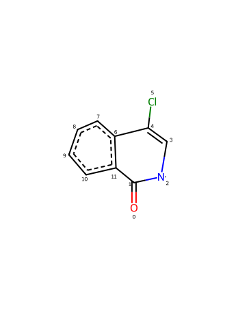 O=C1[N]C=C(Cl)c2ccccc21